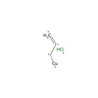 C=C[CH2][Cu].Cl